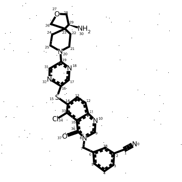 N#Cc1cccc(Cn2cnc3ccc(Sc4cnc(N5CCC6(CC5)COC[C@H]6N)cn4)c(Cl)c3c2=O)c1